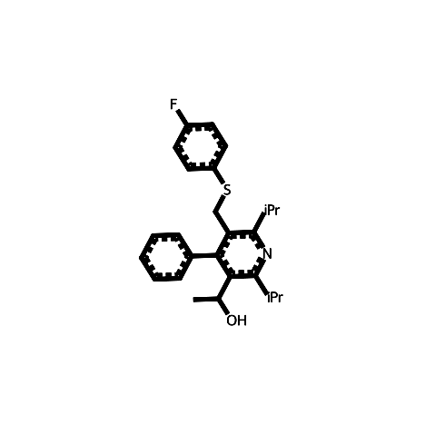 CC(C)c1nc(C(C)C)c(C(C)O)c(-c2ccccc2)c1CSc1ccc(F)cc1